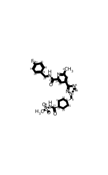 Cc1cc(-c2nnn(C[C@H]3CC[C@H](C(=O)NS(C)(=O)=O)CC3)n2)cc(C(=O)NCc2ccc(F)cc2)n1